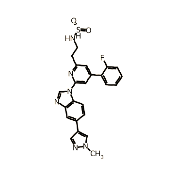 Cn1cc(-c2ccc3c(c2)ncn3-c2cc(-c3ccccc3F)cc(CCN[SH](=O)=O)n2)cn1